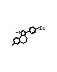 Cc1ccc2c(c1)CCCc1c(-c3ccc(C(C)(C)C)cc3)c[nH]c1-2